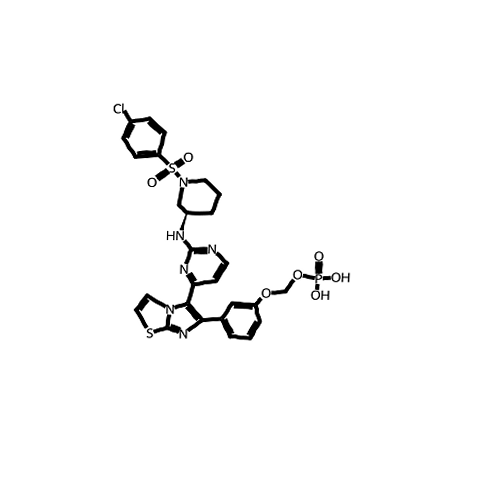 O=P(O)(O)OCOc1cccc(-c2nc3sccn3c2-c2ccnc(N[C@@H]3CCCN(S(=O)(=O)c4ccc(Cl)cc4)C3)n2)c1